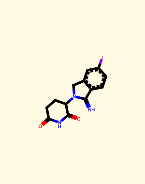 N=C1c2ccc(I)cc2CN1C1CCC(=O)NC1=O